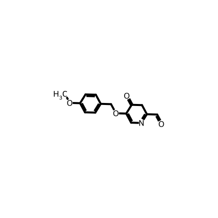 COc1ccc(COC2=CN=C(C=O)CC2=O)cc1